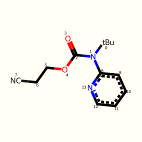 CC(C)(C)N(C(=O)OCCC#N)c1ccccn1